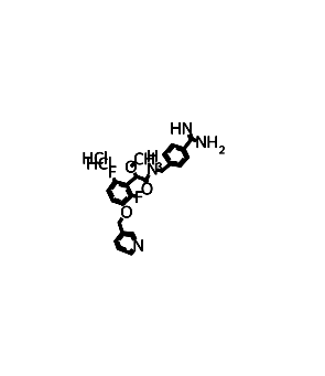 COC(C(=O)NCc1ccc(C(=N)N)cc1)c1c(F)ccc(OCc2cccnc2)c1F.Cl.Cl